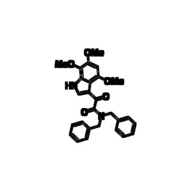 COc1cc(OC)c2c(C(=O)C(=O)N(Cc3ccccc3)Cc3ccccc3)c[nH]c2c1OC